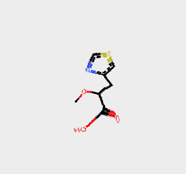 COC(Cc1cscn1)C(=O)O